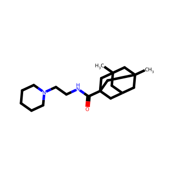 CC12CC3CC(C)(C1)CC(C(=O)NCCN1CCCCC1)(C3)C2